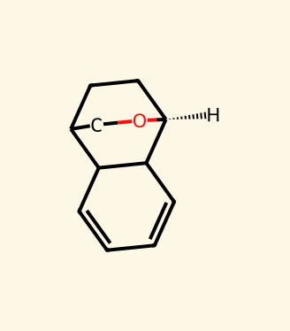 C1=CC2C3CC[C@H](OC3)C2C=C1